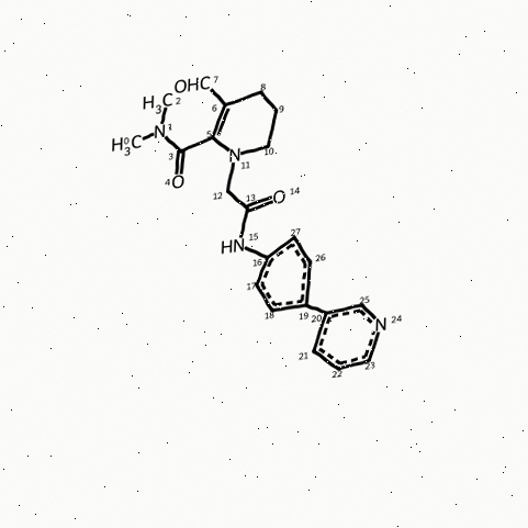 CN(C)C(=O)C1=C(C=O)CCCN1CC(=O)Nc1ccc(-c2cccnc2)cc1